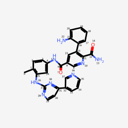 Cc1ccc(NC(=O)c2cnc(C(N)=O)c(-c3ccccc3N)c2)cc1Nc1nccc(-c2cccnc2)n1